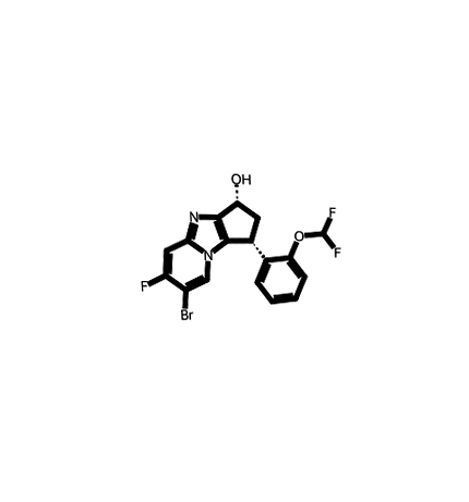 O[C@@H]1C[C@H](c2ccccc2OC(F)F)c2c1nc1cc(F)c(Br)cn21